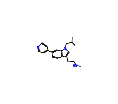 CNCCc1cn(CC(C)C)c2cc(-c3ccncc3)ccc12